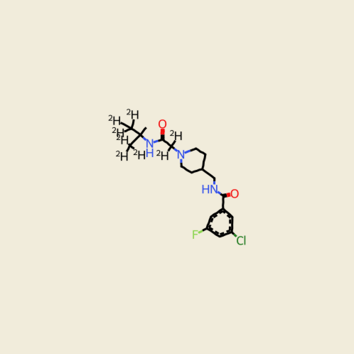 [2H]C([2H])(C(=O)NC(C)(C([2H])([2H])[2H])C([2H])([2H])[2H])N1CCC(CNC(=O)c2cc(F)cc(Cl)c2)CC1